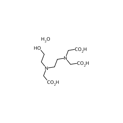 O.O=C(O)CN(CCO)CCN(CC(=O)O)CC(=O)O